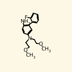 COCCN(CCOC)c1ccc(N)c(-c2ccccc2F)c1